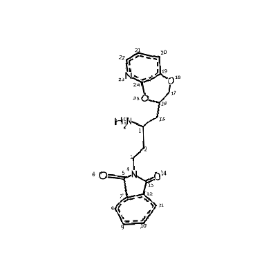 NC(CCN1C(=O)c2ccccc2C1=O)CC1COc2cccnc2O1